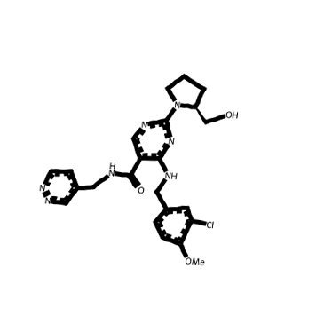 COc1ccc(CNc2nc(N3CCC[C@H]3CO)ncc2C(=O)NCc2ccnnc2)cc1Cl